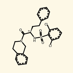 O=C([C@@H](CCc1ccccc1)NS(=O)(=O)c1c(Cl)cccc1Cl)N1CCc2ccccc2C1